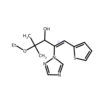 CCOC(C)(C)C(O)/C(=C/c1cccs1)n1cncn1